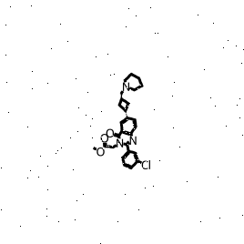 COC(=O)Cn1c(-c2cccc(Cl)c2)nc2ccc([C@H]3C[C@H](CN4CCCCC4)C3)cc2c1=O